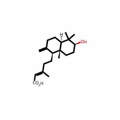 C=C1CC[C@H]2C(C)(C)[C@@H](O)CC[C@]2(C)[C@H]1CC/C(C)=C/C(=O)O